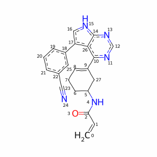 C=CC(=O)NC1CCC=C(c2ncnc3[nH]cc(-c4cccc(C#N)c4)c23)C1